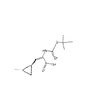 C[C@H]1C[C@@H]1/C=C(/NC(=O)OC(C)(C)C)C(=O)O